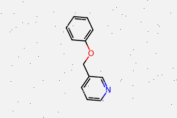 [c]1ccc(COc2ccccc2)cn1